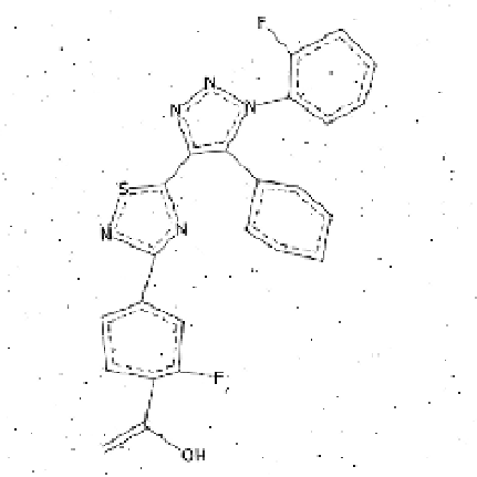 C=C(O)c1ccc(-c2nsc(-c3nnn(-c4ccccc4F)c3-c3ccccc3)n2)cc1F